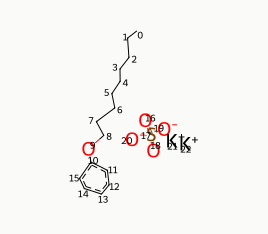 CCCCCCCCCOc1ccccc1.O=S(=O)([O-])[O-].[K+].[K+]